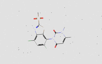 Cn1c(C(F)(F)F)cc(=O)n(-c2c(F)cc(Cl)c3nc(S(C)(=O)=O)sc23)c1=O